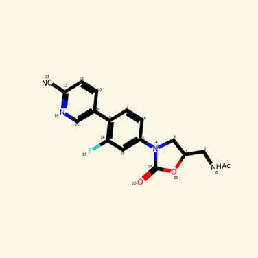 CC(=O)NCC1CN(c2ccc(-c3ccc(C#N)nc3)c(F)c2)C(=O)O1